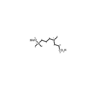 CO[Si](C)(C)CCCN(C)CCC(=O)O